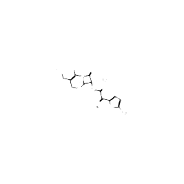 CO[C@@]1(NC(=O)C(=S=O)c2ccc([N+](=O)[O-])o2)C(=O)N2C(C(=O)O)=C(COC(C)=O)CS[C@@H]21